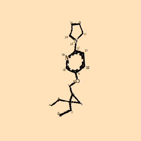 CCC1(CC)CC1COc1ccc(N2CCCC2)nc1